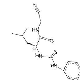 CC(C)C[C@H](NC(=S)Nc1ccccc1)C(=O)NCC#N